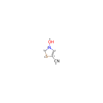 N#CC1=CN(O)[CH]S1